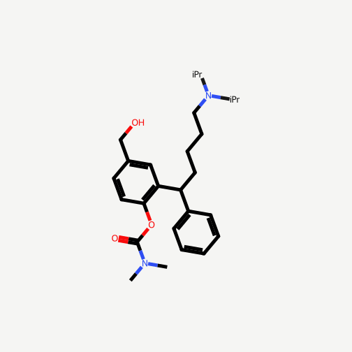 CC(C)N(CCCCC(c1ccccc1)c1cc(CO)ccc1OC(=O)N(C)C)C(C)C